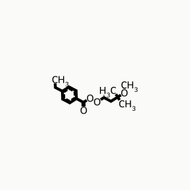 CCc1ccc(C(=O)OO[CH]CC(C)(C)OC)cc1